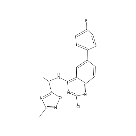 Cc1noc(C(C)Nc2nc(Cl)nc3ccc(-c4ccc(F)cc4)cc23)n1